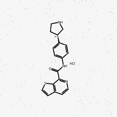 Cl.O=C(Nc1ccc([C@H]2CCNC2)cc1)c1nccc2ccsc12